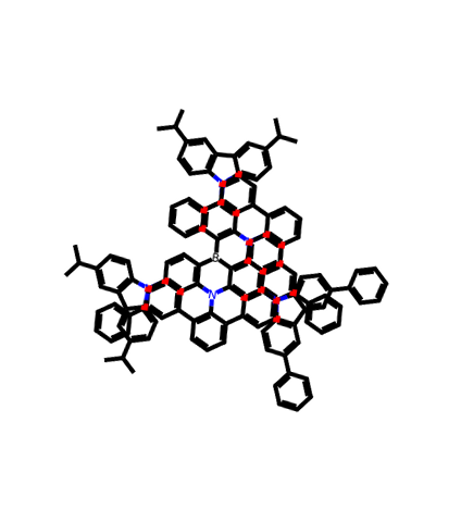 CC(C)c1ccc2c(c1)c1cc(C(C)C)ccc1n2-c1ccc2c(c1)N(c1c(-c3cccc(-c4ccccc4)c3)cccc1-c1cccc(-c3ccccc3)c1)c1cc(-n3c4ccc(-c5ccccc5)cc4c4cc(-c5ccccc5)ccc43)cc3c1B2c1ccc(-n2c4ccc(C(C)C)cc4c4cc(C(C)C)ccc42)cc1N3c1c(-c2cccc(-c3ccccc3)c2)cccc1-c1cccc(-c2ccccc2)c1